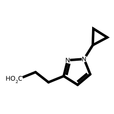 O=C(O)CCc1ccn(C2CC2)n1